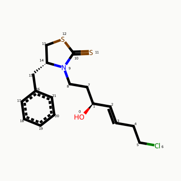 O[C@H](/C=C/CCCl)CCN1C(=S)SC[C@H]1Cc1ccccc1